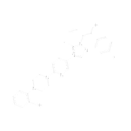 CCC(C(O)c1ccc(Cl)cc1)n1ncn(-c2ccc(N3CCN(c4ccccc4O)CC3)nc2)c1=O